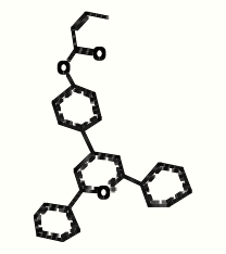 C/C=C\C(=O)Oc1ccc(-c2cc(-c3ccccc3)[o+]c(-c3ccccc3)c2)cc1